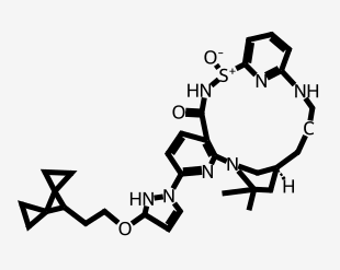 CC1(C)C[C@@H]2CCCNc3cccc(n3)[S+]([O-])NC(=O)c3ccc(N4C=CC(OCCC5C6(CC6)C56CC6)N4)nc3N1C2